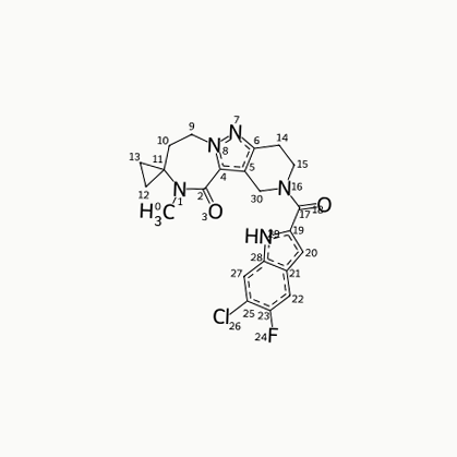 CN1C(=O)c2c3c(nn2CCC12CC2)CCN(C(=O)c1cc2cc(F)c(Cl)cc2[nH]1)C3